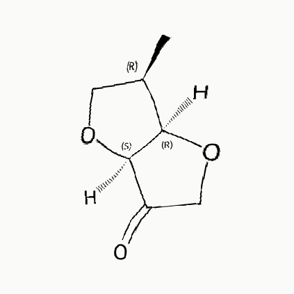 C[C@@H]1CO[C@@H]2C(=O)CO[C@H]12